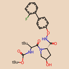 CC(C)(C)OC(=O)NC(C(=O)N1C[C@H](O)C[C@H]1C(=O)NOc1ccc(-c2ccccc2F)cc1)C(C)(C)C